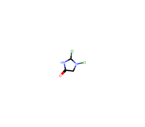 O=C1CN(Cl)C(Cl)N1